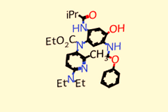 CCOC(=O)N(c1cc(NCOc2ccccc2)c(O)cc1NC(=O)C(C)C)c1ccc(N(CC)CC)nc1C